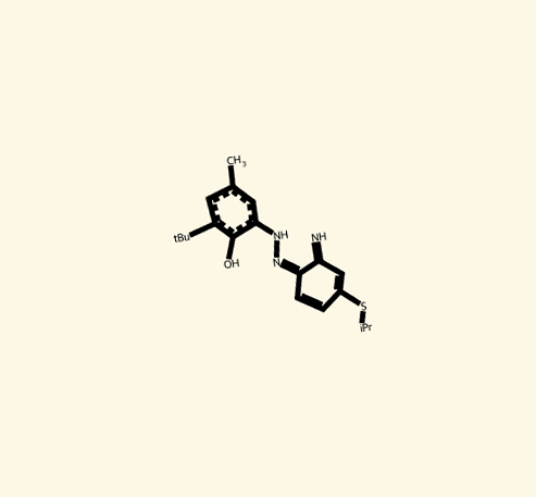 Cc1cc(N/N=C2/C=CC(SC(C)C)=CC2=N)c(O)c(C(C)(C)C)c1